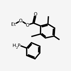 CCOOC(=O)c1c(C)cc(C)cc1C.Pc1ccccc1